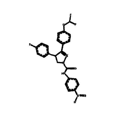 O=C(Nc1ccc([N+](=O)[O-])cc1)N1CC(c2ccc(F)cc2)C(c2ccc(OC(F)F)cc2)=N1